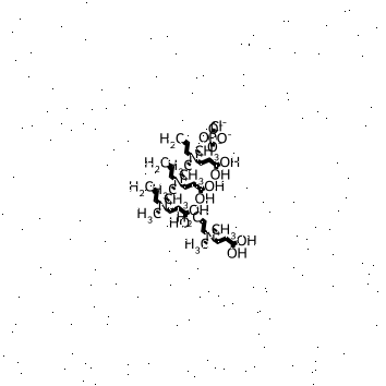 C=CC[N+](C)(C)CCC(O)O.C=CC[N+](C)(C)CCC(O)O.C=CC[N+](C)(C)CCC(O)O.C=CC[N+](C)(C)CCC(O)O.O=P([O-])([O-])[O-].[Cl-]